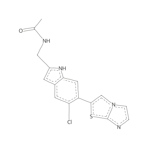 CC(=O)NCc1cc2cc(Cl)c(-c3cn4ccnc4s3)cc2[nH]1